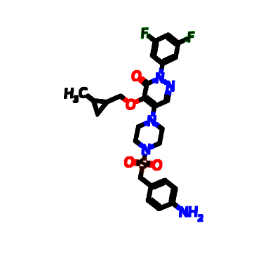 CC1CC1COc1c(N2CCN(S(=O)(=O)Cc3ccc(N)cc3)CC2)cnn(-c2cc(F)cc(F)c2)c1=O